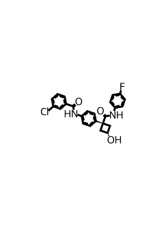 O=C(Nc1ccc([C@]2(C(=O)Nc3ccc(F)cc3)C[C@@H](O)C2)cc1)c1cccc(Cl)c1